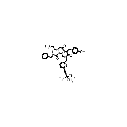 C=CCN1CC(=O)N2C(Cc3ccc(O)cc3)C(=O)N(Cc3cccc(C#CC(C)(C)C)n3)CC2N1C(=O)NCc1ccccc1